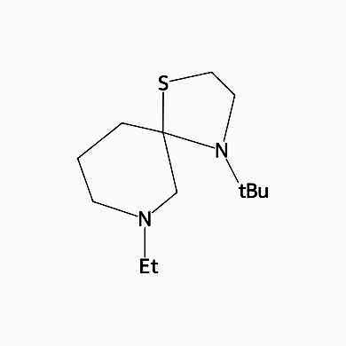 CCN1CCCC2(C1)SCCN2C(C)(C)C